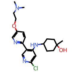 CN(C)CCOc1ccc(-c2cnc(Cl)cc2NC2CCC(C)(O)CC2)nc1